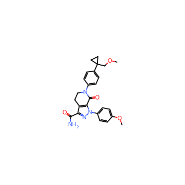 COCC1(c2ccc(N3CCc4c(C(N)=O)nn(-c5ccc(OC)cc5)c4C3=O)cc2)CC1